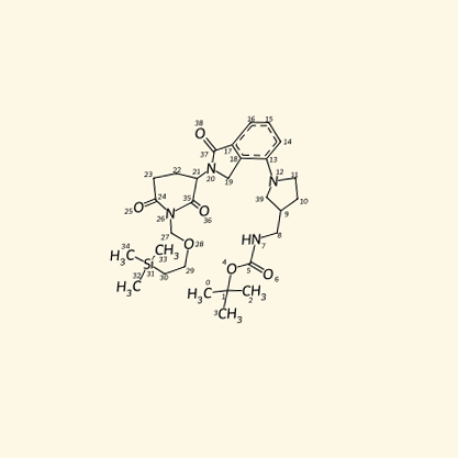 CC(C)(C)OC(=O)NCC1CCN(c2cccc3c2CN(C2CCC(=O)N(COCC[Si](C)(C)C)C2=O)C3=O)C1